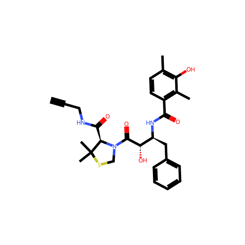 C#CCNC(=O)[C@H]1N(C(=O)[C@@H](O)[C@H](Cc2ccccc2)NC(=O)c2ccc(C)c(O)c2C)CSC1(C)C